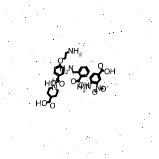 NCCOc1ccc(C(=O)O)cc1.NCc1ccccc1C(=O)O.Nc1ccc(C(=O)O)cc1[N+](=O)[O-].O=C(O)C1CCNCC1